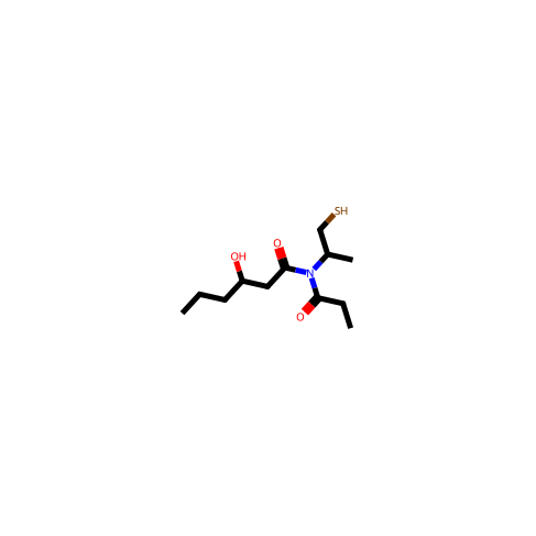 CCCC(O)CC(=O)N(C(=O)CC)C(C)CS